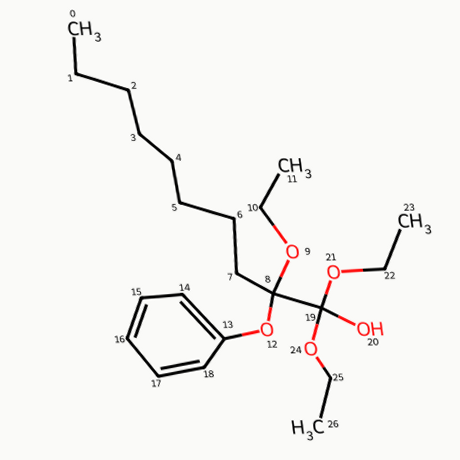 CCCCCCCCC(OCC)(Oc1ccccc1)C(O)(OCC)OCC